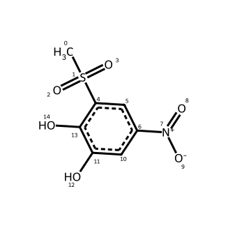 CS(=O)(=O)c1cc([N+](=O)[O-])cc(O)c1O